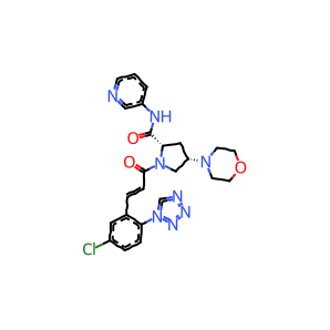 O=C(Nc1cccnc1)[C@@H]1C[C@H](N2CCOCC2)CN1C(=O)C=Cc1cc(Cl)ccc1-n1cnnn1